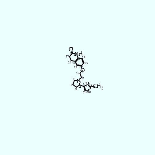 Cc1nc(C2CCCN2CCOc2ccc3c(c2)CCC(=O)N3)cs1